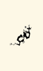 NCc1cccn(-c2cccc(C(F)(F)F)n2)c1=O